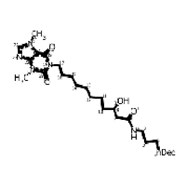 CCCCCCCCCCCCCNC(=O)CC(O)CCCCCCCCn1c(=O)c2c(ncn2C)n(C)c1=O